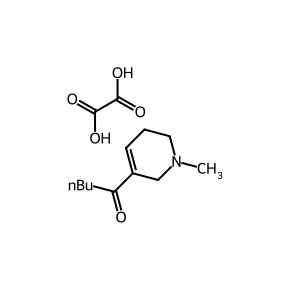 CCCCC(=O)C1=CCCN(C)C1.O=C(O)C(=O)O